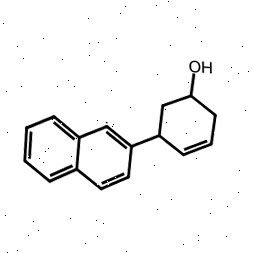 OC1CC=CC(c2[c]c3ccccc3cc2)C1